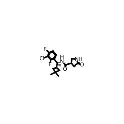 CC1(C)CC([C@@H](NC(=O)C2CNC(=O)C2)c2ccc(F)c(Cl)c2F)C1